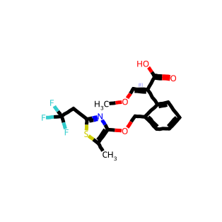 CO/C=C(/C(=O)O)c1ccccc1COc1nc(CC(F)(F)F)sc1C